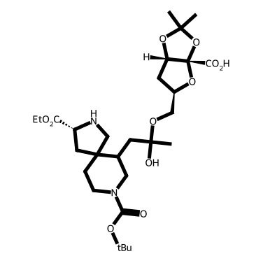 CCOC(=O)[C@H]1CC2(CCN(C(=O)OC(C)(C)C)CC2CC(C)(O)OC[C@H]2C[C@@H]3OC(C)(C)O[C@]3(C(=O)O)O2)CN1